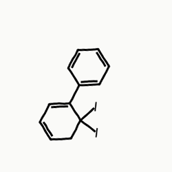 IC1(I)CC=CC=C1c1ccccc1